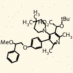 COC(COc1ccc(-c2c(C)nc(C)c([C@H](OC(C)(C)C)C(=O)O)c2N2CCC(C)(C)CC2)cc1)c1ccccc1